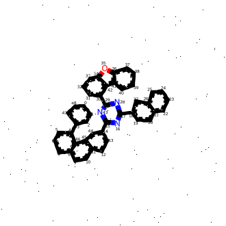 c1ccc(-c2cccc3ccc4ccc(-c5nc(-c6ccc7ccccc7c6)nc(-c6cccc7oc8ccccc8c67)n5)cc4c23)cc1